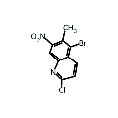 Cc1c([N+](=O)[O-])cc2nc(Cl)ccc2c1Br